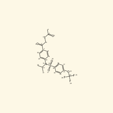 CC(=O)SCC(=O)c1ccc(N(C(C)C)S(=O)(=O)c2ccc(OC(F)(F)F)cc2)cc1